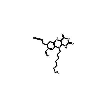 [N-]=[N+]=NCC1CC2=C(C=C1C=N)N(CCCCCON)C1NC(=O)NC(=O)C1N2